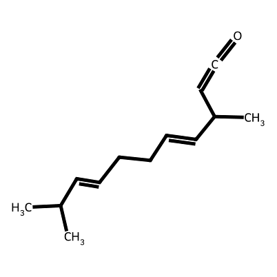 CC(C)C=CCCC=CC(C)C=C=O